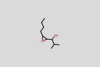 CCCCC1OC1C(O)C(C)C